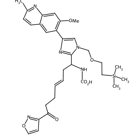 COc1cc2nc(C)ccc2cc1-c1cn(COCC[Si](C)(C)C)c(C(C/C=C/CCC(=O)c2ccon2)NC(=O)O)n1